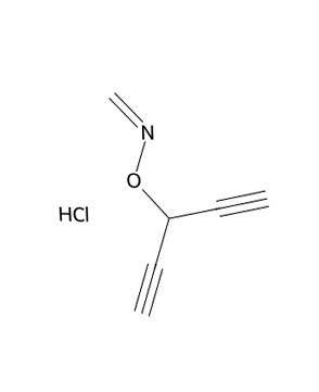 C#CC(C#C)ON=C.Cl